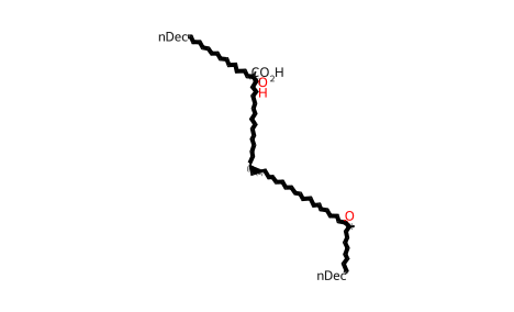 CCCCCCCCCCCCCCCCCCCCCCCC[C@@H](C(=O)O)[C@H](O)CCCCCCCCCCCCCCC[C@@H]1C[C@@H]1CCCCCCCCCCCCCCCCCCC(=O)[C@@H](C)CCCCCCCCCCCCCCCCCC